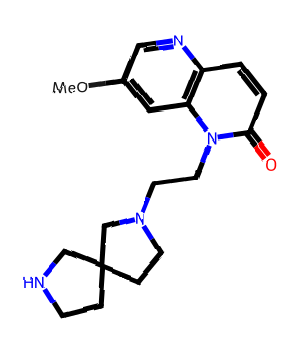 COc1cnc2ccc(=O)n(CCN3CCC4(CCNC4)C3)c2c1